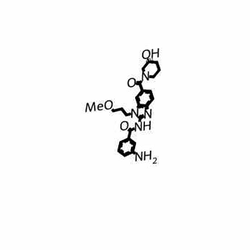 COCCCn1c(NC(=O)c2cccc(N)c2)nc2ccc(C(=O)N3CCC[C@@H](O)C3)cc21